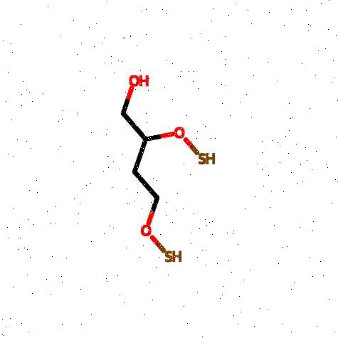 OCC(CCOS)OS